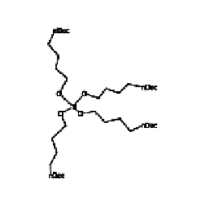 CCCCCCCCCCCCCC[O][Ti]([O]CCCCCCCCCCCCCC)([O]CCCCCCCCCCCCCC)[O]CCCCCCCCCCCCCC